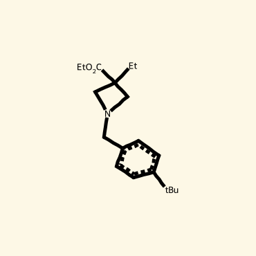 CCOC(=O)C1(CC)CN(Cc2ccc(C(C)(C)C)cc2)C1